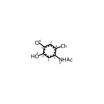 CC(=O)Nc1cc(O)c(Cl)cc1Cl